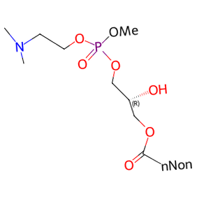 CCCCCCCCCC(=O)OC[C@@H](O)COP(=O)(OC)OCCN(C)C